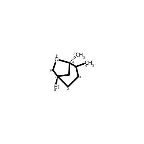 CC[C@]12CCC(C)[C@@](C)(C1)OC2